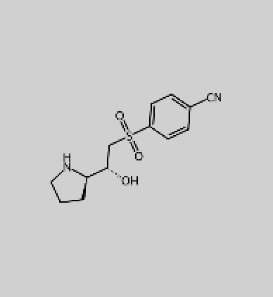 N#Cc1ccc(S(=O)(=O)C[C@H](O)[C@H]2CCCN2)cc1